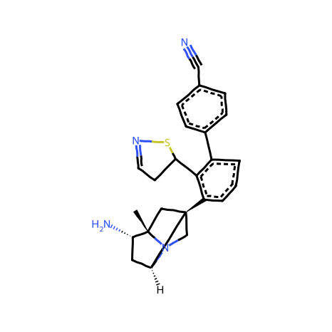 C[C@@]12C[C@]3(c4cccc(-c5ccc(C#N)cc5)c4C4CC=NS4)CN1[C@H]3C[C@@H]2N